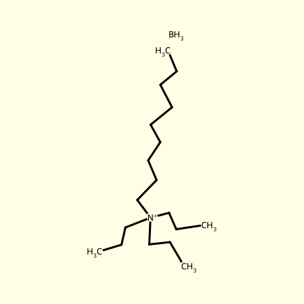 B.CCCCCCCCC[N+](CCC)(CCC)CCC